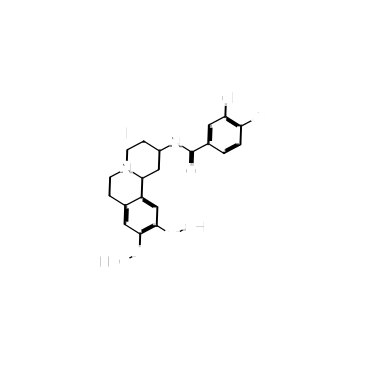 COc1cc2c(cc1OC)C1CC(NC(=O)c3ccc(Cl)c(Cl)c3)CCN1CC2.Cl